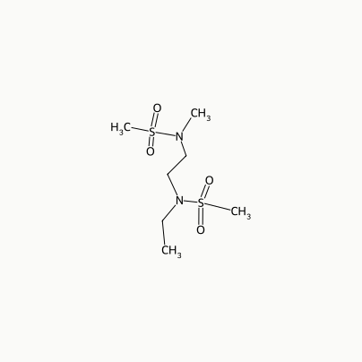 CCN(CCN(C)S(C)(=O)=O)S(C)(=O)=O